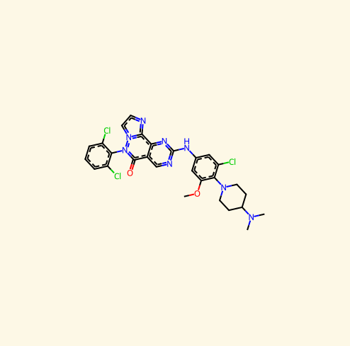 COc1cc(Nc2ncc3c(=O)n(-c4c(Cl)cccc4Cl)n4ccnc4c3n2)cc(Cl)c1N1CCC(N(C)C)CC1